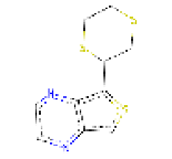 c1cnc2c(C3CSCCS3)scc2n1